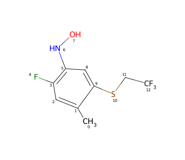 Cc1cc(F)c(NO)cc1SCC(F)(F)F